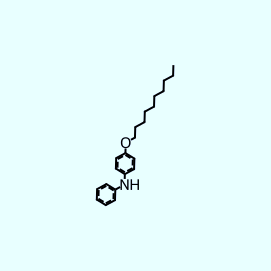 CCCCCCCCCCOc1ccc(Nc2ccccc2)cc1